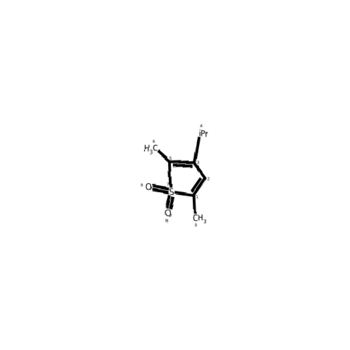 CC1=CC(C(C)C)=C(C)S1(=O)=O